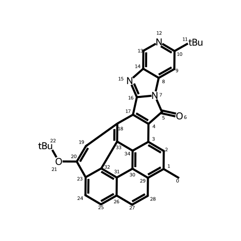 Cc1cc2c3c(=O)n4c5cc(C(C)(C)C)ncc5nc4c3c3cc(OC(C)(C)C)c4ccc5ccc1c1c5c4c3c21